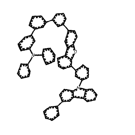 c1ccc(-c2ccc3c(c2)c2ccccc2n3-c2cccc(-c3cccc4c3oc3ccc(-c5cccc(-c6cccc(-c7cccc(N(c8ccccc8)c8ccccc8)c7)c6)c5)cc34)c2)cc1